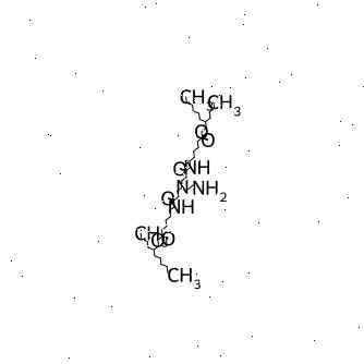 CCCCCCC(CCCC)COC(=O)CCCCCNC(=O)CCN(CCN)CCC(=O)NCCCCCC(=O)OCC(CCCC)CCCCCC